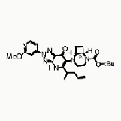 C=CCC(C)c1[nH]c2nn(-c3ccnc(OC)c3)nc2c(=O)c1N1CCN(C(=O)OC(C)(C)C)[C@H]2CC[C@@H]21